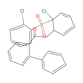 O=C(C[C]1C=CC=CC1(Cl)S(=O)(=O)c1ccccc1Cl)c1ccccc1-c1ccccc1